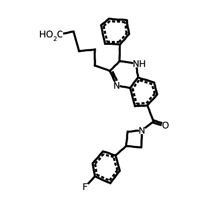 O=C(O)CCCCC1=Nc2cc(C(=O)N3CC(c4ccc(F)cc4)C3)ccc2NC1c1ccccc1